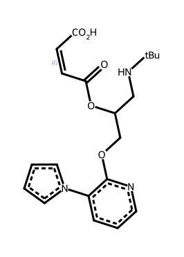 CC(C)(C)NCC(COc1ncccc1-n1cccc1)OC(=O)/C=C\C(=O)O